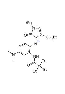 CCOC(=O)C1=NN(C(C)(C)C)C(=O)/C1=N\c1ccc(N(C)C)cc1NC(=O)C(CC)(CC)CC